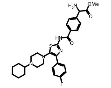 COC(=O)C(N)c1ccc(C(=O)Nc2nc(-c3ccc(F)cc3)c(N3CCN(C4CCCCC4)CC3)s2)cc1